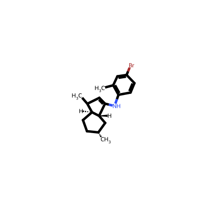 Cc1cc(Br)ccc1NC1=CC(C)[C@@H]2CC[C@@H](C)C[C@@H]12